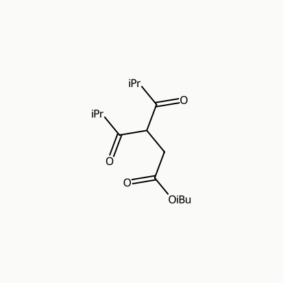 CC(C)COC(=O)CC(C(=O)C(C)C)C(=O)C(C)C